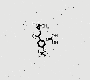 CC1(C)CC1C=C(Cl)c1ccc(OC(F)(F)F)cc1.O=C(O)O